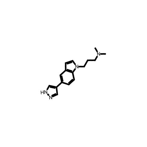 CN(C)CCCn1ccc2cc(-c3cn[nH]c3)ccc21